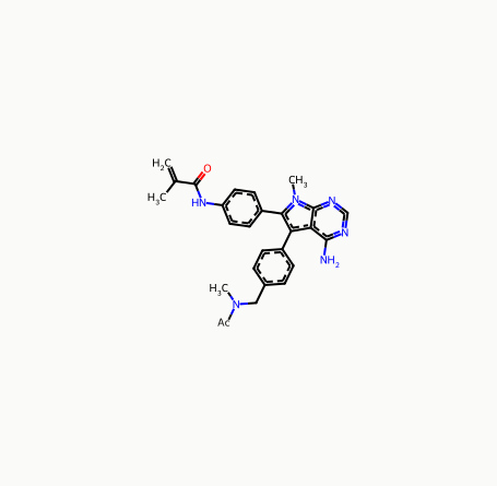 C=C(C)C(=O)Nc1ccc(-c2c(-c3ccc(CN(C)C(C)=O)cc3)c3c(N)ncnc3n2C)cc1